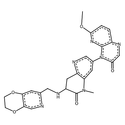 COc1ccc2ncc(=O)n(-c3cnc4c(c3)N(C)C(=O)C(NCc3cc5c(cn3)OCCO5)C4)c2n1